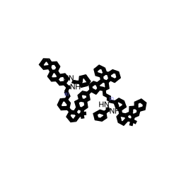 CC1(C)c2cc3ccccc3cc2-c2c(-c3cccc(/C(=C/Cc4cc5c6ccccc6c6ccccc6c5c5ccc(-c6ccc7cc8c(cc7c6)C(C)(C)c6cccc(-c7cccc(/C=C/C(NC(=N)c9ccccc9)c9ccc%10c(ccc%11c%12ccccc%12ccc%10%11)c9)c7)c6-8)cc45)NC(N)c4ccccc4)c3)cccc21